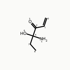 C=CC(=O)C(N)(O)CC